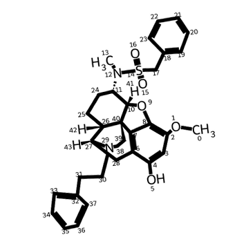 COc1cc(O)c2c3c1O[C@H]1[C@@H](N(C)S(=O)(=O)Cc4ccccc4)CC[C@H]4[C@@H](C2)N(CCc2ccccc2)CC[C@@]341